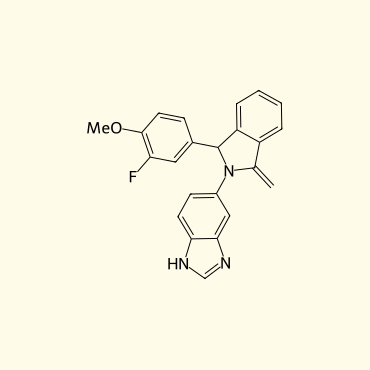 C=C1c2ccccc2C(c2ccc(OC)c(F)c2)N1c1ccc2[nH]cnc2c1